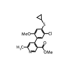 COC(=O)c1cnc(C)cc1-c1cc(Cl)c(SC2CC2)cc1OC